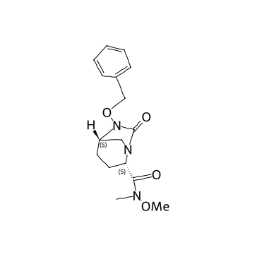 CON(C)C(=O)[C@@H]1CC[C@H]2CN1C(=O)N2OCc1ccccc1